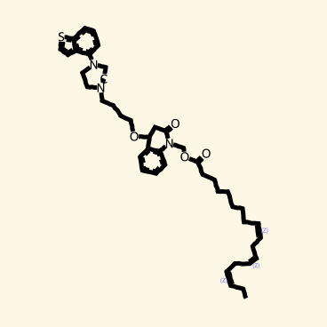 CC/C=C\C/C=C\C/C=C\CCCCCCCC(=O)OCN1C(=O)CC(OCCCCN2CCN(c3cccc4sccc34)CC2)c2ccccc21